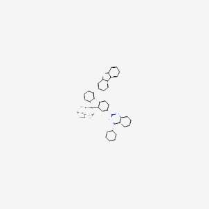 c1ccc(-c2nc(-c3ccc4c(c3)C3(c5cccc(-c6ccc7c(c6)sc6ccccc67)c5-4)C4CC5CC(C4)CC3C5)nc3ccccc23)cc1